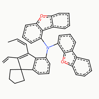 C=CC1=C(/C=C\C)c2c(N(c3cccc4c3oc3ccccc34)c3cccc4oc5ccccc5c34)cccc2C12CCCC2